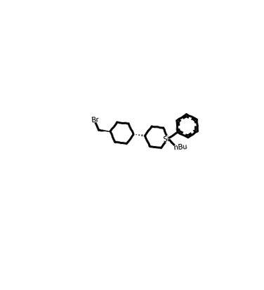 CCCC[Si]1(c2ccccc2)CCC([C@H]2CC[C@H](CBr)CC2)CC1